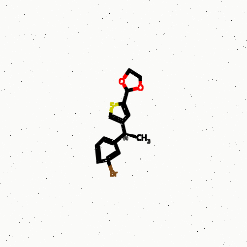 C[C@@H](c1cccc(Br)c1)c1csc(C2OCCO2)c1